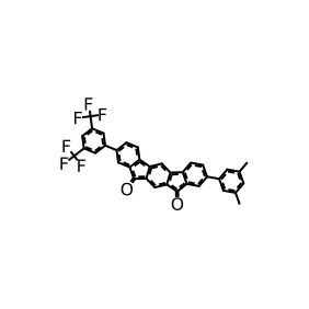 Cc1cc(C)cc(-c2ccc3c(c2)c(=O)c2cc4c(=O)c5cc(-c6cc(C(F)(F)F)cc(C(F)(F)F)c6)ccc5c4cc23)c1